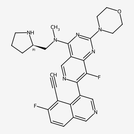 C#Cc1c(F)ccc2cncc(-c3ncc4c(N(C)C[C@H]5CCCN5)nc(N5CCOCC5)nc4c3F)c12